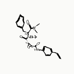 C=Cc1ccc(NC(=O)[C@H]2O[C@@H]2C(=O)N[C@@H](Cc2ccccc2)C(=O)N(C)C)cc1